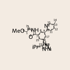 COC[C@@H](C)NC(=O)c1cc(-c2ccc(C)cn2)cc(-n2nnnc2C(C)C)c1